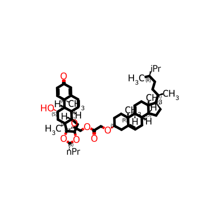 CCC[C@H]1OC2C[C@H]3[C@@H]4CCC5=CC(=O)C=C[C@]5(C)[C@H]4[C@@H](O)C[C@]3(C)[C@]2(C(=O)COC(=O)CO[C@H]2CC[C@@]3(C)C(=CC[C@H]4[C@@H]5CC[C@H]([C@H](C)CC[C@@H](C)C(C)C)[C@@]5(C)CC[C@@H]43)C2)O1